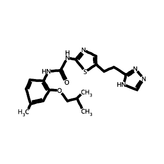 Cc1ccc(NC(=O)Nc2ncc(CCc3nnc[nH]3)s2)c(OCC(C)C)c1